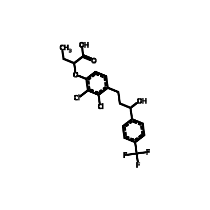 CCC(Oc1ccc(CCC(O)c2ccc(C(F)(F)F)cc2)c(Cl)c1Cl)C(=O)O